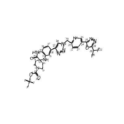 CC(C)(C)OC(=O)N1CCC2(CC1)Nc1cc(-c3cn(Cc4ccc(-c5nnc(C(F)F)o5)cn4)nn3)ccc1NC2=O